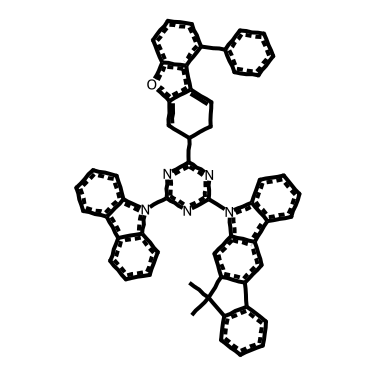 CC1(C)c2ccccc2-c2cc3c4ccccc4n(-c4nc(C5C=c6oc7cccc(-c8ccccc8)c7c6=CC5)nc(-n5c6ccccc6c6ccccc65)n4)c3cc21